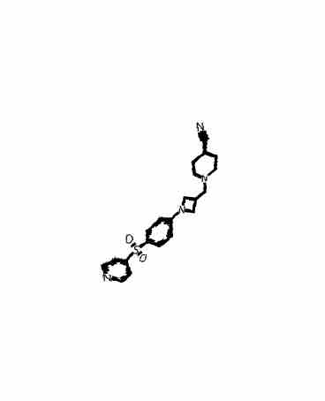 N#CC1CCN(CC2CN(c3ccc(S(=O)(=O)c4ccncc4)cc3)C2)CC1